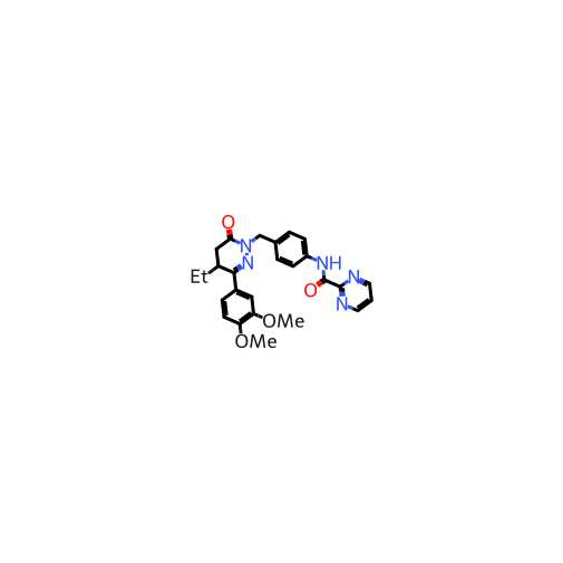 CCC1CC(=O)N(Cc2ccc(NC(=O)c3ncccn3)cc2)N=C1c1ccc(OC)c(OC)c1